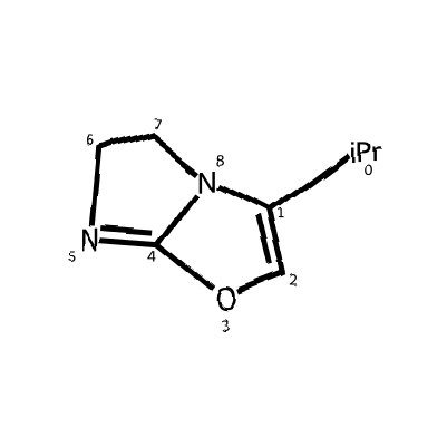 CC(C)C1=COC2=NCCN12